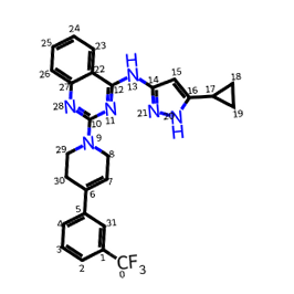 FC(F)(F)c1cccc(C2=CCN(c3nc(Nc4cc(C5CC5)[nH]n4)c4ccccc4n3)CC2)c1